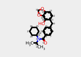 CC(C)N(C(=O)c1ccc(Cc2ccc3c(c2O)OCO3)cc1)C1CCCCC1